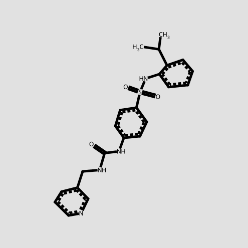 CC(C)c1ccccc1NS(=O)(=O)c1ccc(NC(=O)NCc2cccnc2)cc1